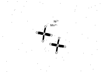 O=S(=O)([O-])[O-].O=S(=O)([O-])[O-].[Mn+2].[Ni+2]